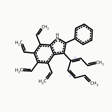 C=C/C=C\C(=C/C=C)c1c(-c2ccccc2)[nH]c2c(C=C)c(C=C)c(C=C)c(C=C)c12